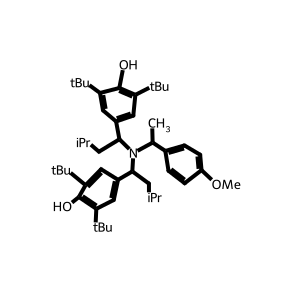 COc1ccc(C(C)N(C(CC(C)C)c2cc(C(C)(C)C)c(O)c(C(C)(C)C)c2)C(CC(C)C)c2cc(C(C)(C)C)c(O)c(C(C)(C)C)c2)cc1